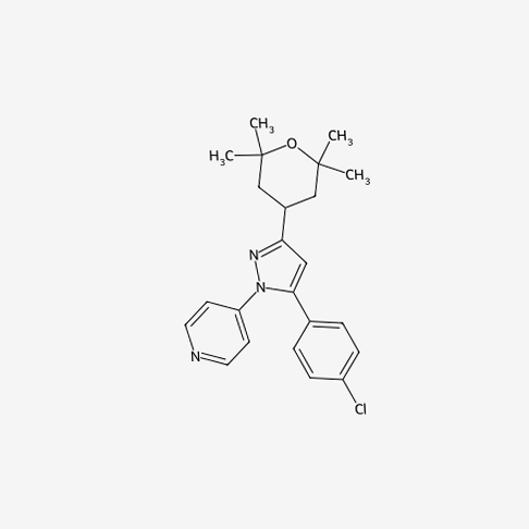 CC1(C)CC(c2cc(-c3ccc(Cl)cc3)n(-c3ccncc3)n2)CC(C)(C)O1